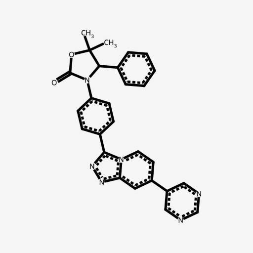 CC1(C)OC(=O)N(c2ccc(-c3nnc4cc(-c5cncnc5)ccn34)cc2)C1c1ccccc1